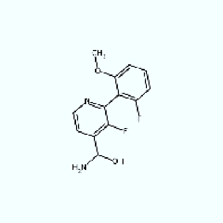 COc1cccc(F)c1-c1nccc(C(N)O)c1F